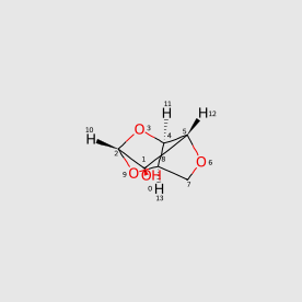 O[C@H]1[C@H]2O[C@H]3[C@@H]1OC[C@H]3O2